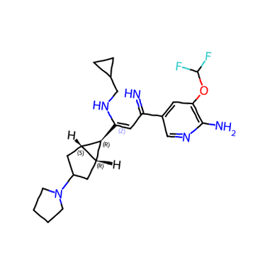 N=C(/C=C(\NCC1CC1)[C@H]1[C@@H]2CC(N3CCCC3)C[C@@H]21)c1cnc(N)c(OC(F)F)c1